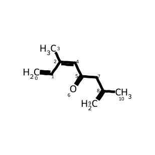 C=C/C(C)=C\C(=O)CC(=C)C